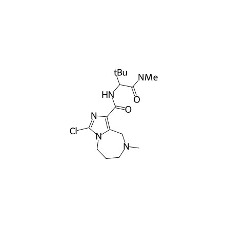 CNC(=O)C(NC(=O)c1nc(Cl)n2c1CN(C)CCC2)C(C)(C)C